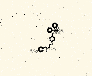 COc1ccc(CN[C@@H](C)COC2CCC(CO[Si](c3ccccc3)(c3ccccc3)C(C)(C)C)CC2)cc1